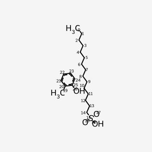 CCCCCCCCCCCCCCCS(=O)(=O)O.Cc1ccccc1O